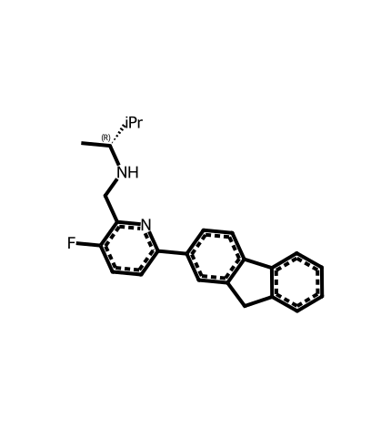 CC(C)[C@@H](C)NCc1nc(-c2ccc3c(c2)Cc2ccccc2-3)ccc1F